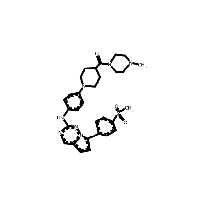 CN1CCN(C(=O)C2CCN(c3ccc(Nc4ncc5ccc(-c6ccc(S(C)(=O)=O)cc6)n5n4)cc3)CC2)CC1